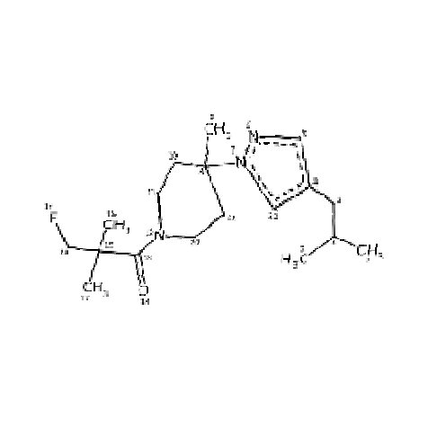 CC(C)Cc1cnn(C2(C)CCN(C(=O)C(C)(C)CF)CC2)c1